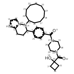 O=C(c1ccc(C2CCc3nccn3N2C2CCCCCCCCC2)cc1)N1CCN(C(=O)C2(O)CCC2)CC1